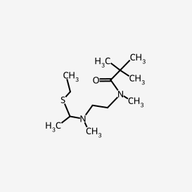 CCSC(C)N(C)CCN(C)C(=O)C(C)(C)C